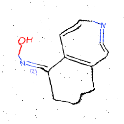 O/N=C1/CCCc2cnccc21